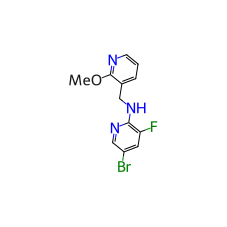 COc1ncccc1CNc1ncc(Br)cc1F